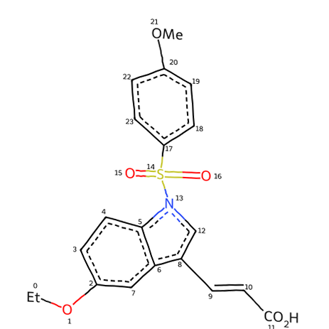 CCOc1ccc2c(c1)c(C=CC(=O)O)cn2S(=O)(=O)c1ccc(OC)cc1